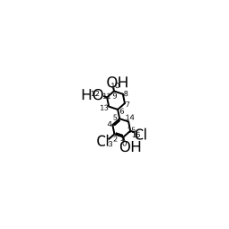 OC1=C(Cl)C=C(C2CCC(O)C(O)C2)CC1Cl